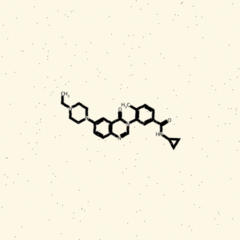 CCN1CCN(c2ccc3ncn(-c4cc(C(=O)NC5CC5)ccc4C)c(=O)c3c2)CC1